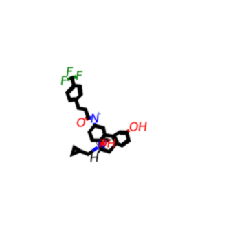 CN(C(=O)CCc1ccc(C(F)(F)F)cc1)C1CC[C@@]2(O)[C@H]3Cc4ccc(O)cc4[C@@]2(CCN3CC2CC2)C1